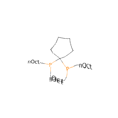 CCCCCCCCP(CCCCCCCC)C1(P(CCCCCCCC)CCCCCCCC)CCCC1